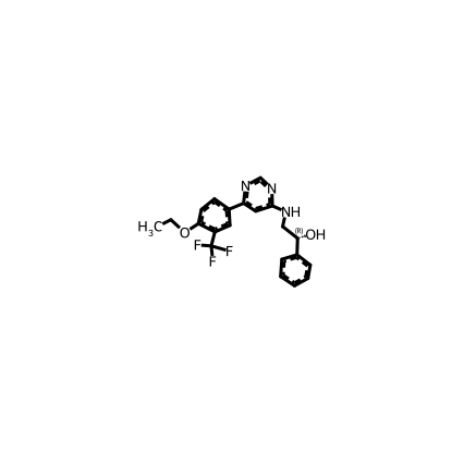 CCOc1ccc(-c2cc(NC[C@H](O)c3ccccc3)ncn2)cc1C(F)(F)F